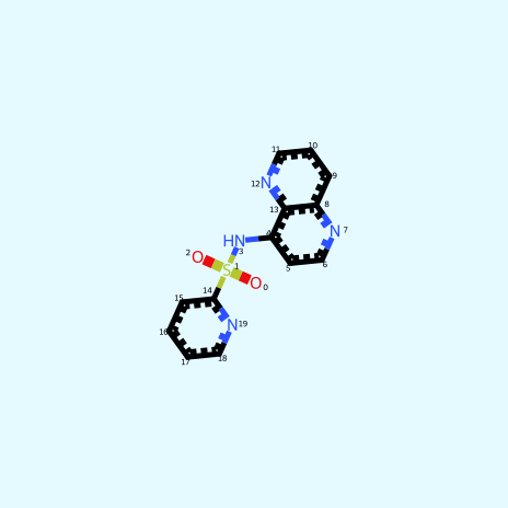 O=S(=O)(Nc1ccnc2cccnc12)c1ccccn1